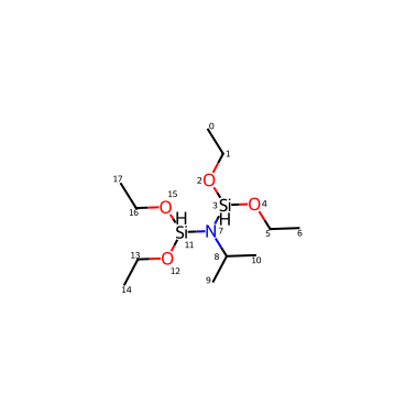 CCO[SiH](OCC)N(C(C)C)[SiH](OCC)OCC